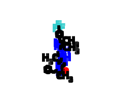 Cc1c(NC[C@@H](C)Nc2cnc(C(=O)N(C)CCc3ccccc3)cn2)nnc(-c2ccc(C(F)(F)F)cc2)c1C